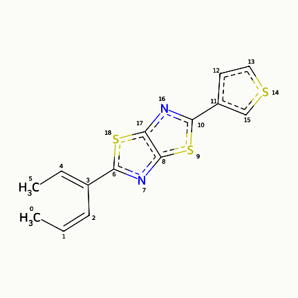 C/C=C\C(=C/C)c1nc2sc(-c3ccsc3)nc2s1